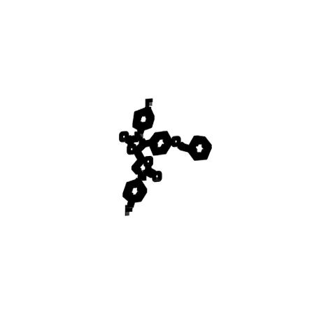 O=C1OC(C2OC(=O)N(c3ccc(F)cc3)C2c2ccc(OCc3ccccc3)cc2)CN1c1ccc(F)cc1